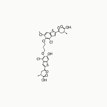 COc1cc2sc(C(=O)C[C@H](C)C(=O)O)cc2c(Cl)c1OCCCOc1c(O)cc2sc(C(=O)C[C@H](C)C(=O)O)cc2c1Cl